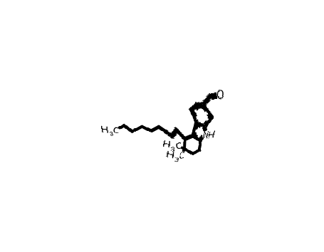 CCCCCCCCC1c2c([nH]c3cc(C=O)ccc23)CCC1(C)C